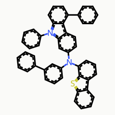 c1ccc(-c2cccc(N(c3ccc4c5c(-c6ccccc6)cccc5n(-c5ccccc5)c4c3)c3cccc4c3sc3ccccc34)c2)cc1